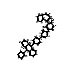 c1ccc(-c2c3ccccc3c(-c3ccc(-c4ccc5c(c4)sc4c5ccc5oc6ccc7ccccc7c6c54)cc3)c3ccccc23)cc1